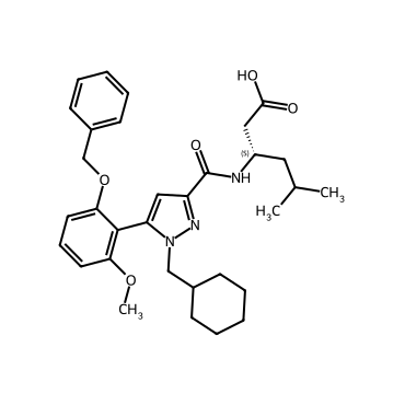 COc1cccc(OCc2ccccc2)c1-c1cc(C(=O)N[C@H](CC(=O)O)CC(C)C)nn1CC1CCCCC1